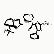 Cc1nc(C(=O)N2CCCC[C@H]2Cc2cn3cccc(C(F)(F)F)c3n2)c(-c2ccccc2)s1